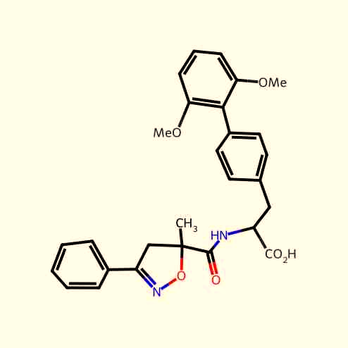 COc1cccc(OC)c1-c1ccc(CC(NC(=O)C2(C)CC(c3ccccc3)=NO2)C(=O)O)cc1